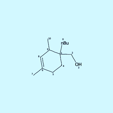 CCCCC1(CO)CCC(C)=CC1C